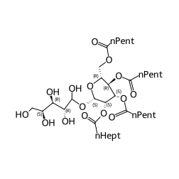 CCCCCCCC(=O)O[C@@H]1[C@H](OC(O)[C@H](O)[C@H](O)[C@@H](O)CO)O[C@H](COC(=O)CCCCC)[C@@H](OC(=O)CCCCC)[C@@H]1OC(=O)CCCCC